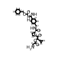 N=C(NC(=O)OCc1ccccc1)c1ccc(CNC(=O)[C@@H]2CCN2C(=O)C(OC(=O)CN)C2CC2)cc1